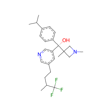 CC(C)c1ccc([C@](O)(c2cncc(CCC(C)C(F)(F)F)c2)C2(C)CN(C)C2)cc1